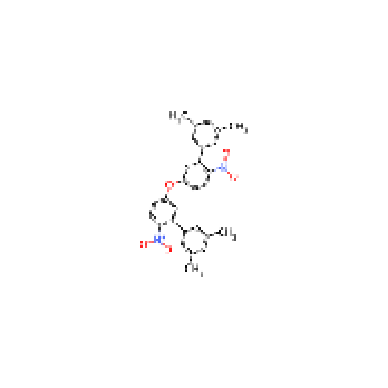 Cc1cc(C)cc(-c2cc(Oc3ccc([N+](=O)[O-])c(-c4cc(C)cc(C)c4)c3)ccc2[N+](=O)[O-])c1